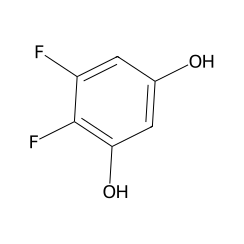 Oc1cc(O)c(F)c(F)c1